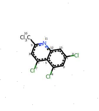 Clc1cc(Cl)c2c(Cl)cc(C(Cl)(Cl)Cl)nc2c1